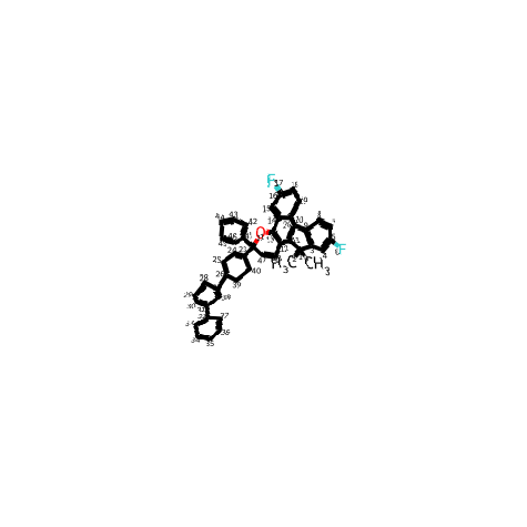 CC1(C)c2cc(F)ccc2-c2c1c1c(c3cc(F)ccc23)OC(C2=CC=C(c3cccc(-c4ccccc4)c3)CC2)(c2ccccc2)C=C1